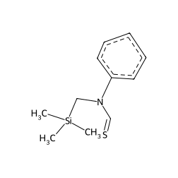 C[Si](C)(C)CN(C=S)c1ccccc1